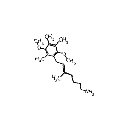 COc1c(C)c(C)c(OC)c(C/C=C(\C)CCCCN)c1C